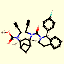 C#CCN(C(=O)N1CCc2ccccc2[C@@H]1c1ccc(F)cc1)[C@@H]1C[C@H](N(CC#C)C(=O)OC(C)(C)C)C2CC1C2